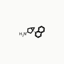 N[C@@H]1CC2C[C@@]2(c2cccc3ccccc23)C1